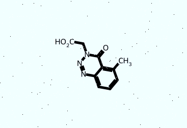 Cc1cccc2nnn(CC(=O)O)c(=O)c12